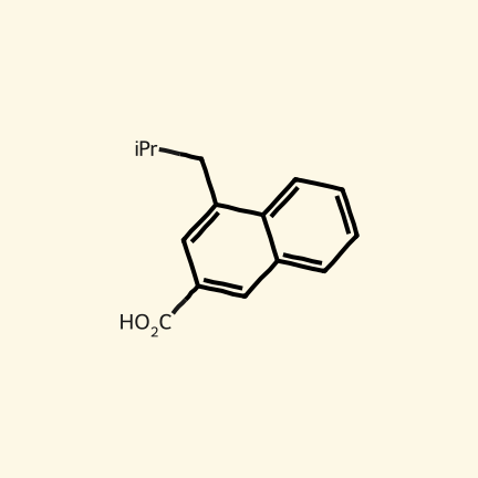 CC(C)Cc1cc(C(=O)O)cc2ccccc12